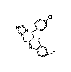 Fc1ccc(N=C(Cn2cncn2)SCc2ccc(Cl)cc2)c(Cl)c1